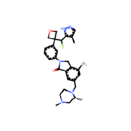 Cc1cn[nH]c1C(F)C1(c2cccc(N3Cc4c(cc(CN5CCN(C)C[C@@H]5C(C)C)cc4C(F)(F)F)C3=O)c2)COC1